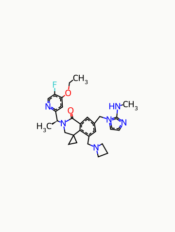 CCOc1cc([C@H](C)N2CC3(CC3)c3c(CN4CCC4)cc(Cn4ccnc4NC)cc3C2=O)ncc1F